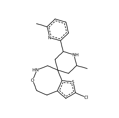 Cc1cccc(C2CC3(CNOCCc4cc(Cl)sc43)CC(C)N2)n1